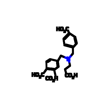 O=C(O)CCN(Cc1ccc(C(=O)O)cc1)Cc1ccc(C(=O)O)c(C(=O)O)c1